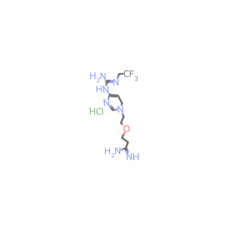 Cl.N=C(N)CCOCCN1C=NC(NC(N)=NCC(F)(F)F)=CC1